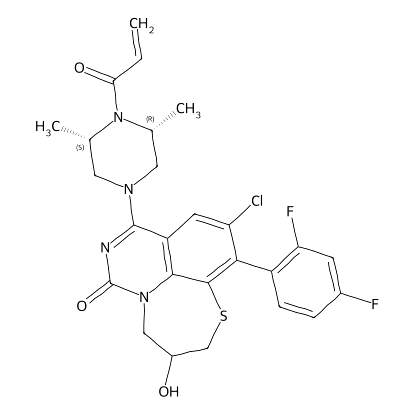 C=CC(=O)N1[C@H](C)CN(c2nc(=O)n3c4c(c(-c5ccc(F)cc5F)c(Cl)cc24)SCC(O)C3)C[C@@H]1C